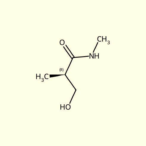 CNC(=O)[C@H](C)CO